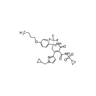 CCCCOc1ccc([C@]2(C(F)(F)F)CC(c3ccn(CC4CC4)n3)=C(C(=O)NS(=O)(=O)C3CC3)C(=O)N2)cc1